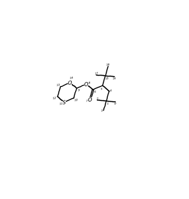 CC(C)(C)CC(C(=O)OC1CSCCO1)C(C)(C)C